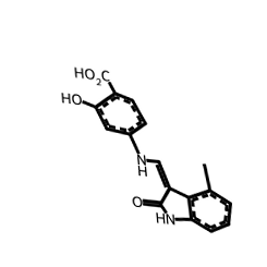 Cc1cccc2c1C(=CNc1ccc(C(=O)O)c(O)c1)C(=O)N2